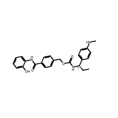 CC[C@@H](NC(=O)OCc1ccc(C(=O)Nc2ccccc2O)cc1)c1ccc(NC)cc1